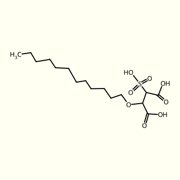 CCCCCCCCCCCCOC(C(=O)O)C(C(=O)O)S(=O)(=O)O